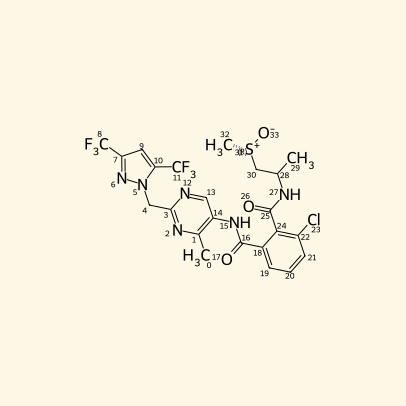 Cc1nc(Cn2nc(C(F)(F)F)cc2C(F)(F)F)ncc1NC(=O)c1cccc(Cl)c1C(=O)NC(C)C[S@+](C)[O-]